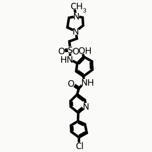 CN1CCN(CCS(=O)(=O)Nc2cc(NC(=O)c3ccc(-c4ccc(Cl)cc4)nc3)ccc2O)CC1